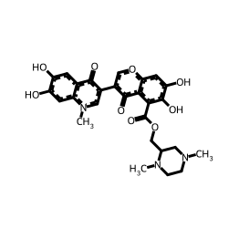 CN1CCN(C)C(COC(=O)c2c(O)c(O)cc3occ(-c4cn(C)c5cc(O)c(O)cc5c4=O)c(=O)c23)C1